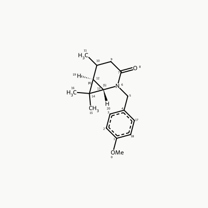 COc1ccc(CN2C(=O)CC(C)[C@H]3[C@H]2C3(C)C)cc1